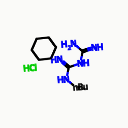 C1CCCCC1.CCCCNC(=N)NC(=N)N.Cl